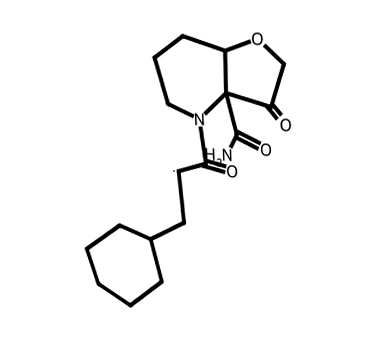 NC(=O)C12C(=O)COC1CCCN2C(=O)[CH]CC1CCCCC1